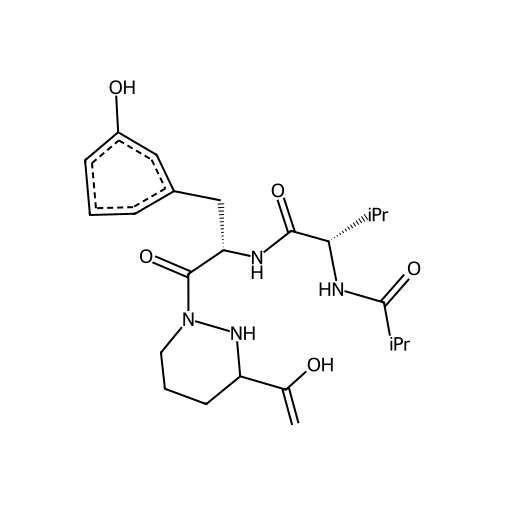 C=C(O)C1CCCN(C(=O)[C@H](Cc2cccc(O)c2)NC(=O)[C@@H](NC(=O)C(C)C)C(C)C)N1